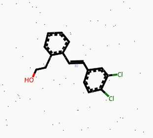 OCCc1ccccc1/C=C/c1ccc(Cl)c(Cl)c1